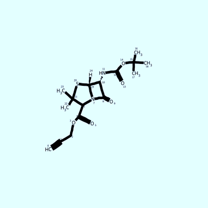 C#CCOC(=O)C1N2C(=O)[C@@H](NC(=O)OC(C)(C)C)[C@H]2SC1(C)C